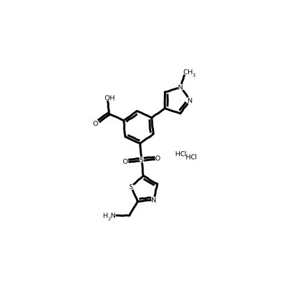 Cl.Cl.Cn1cc(-c2cc(C(=O)O)cc(S(=O)(=O)c3cnc(CN)s3)c2)cn1